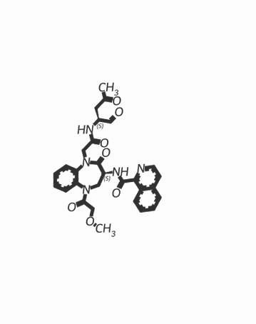 COCC(=O)N1C[C@H](NC(=O)c2nccc3ccccc23)C(=O)N(CC(=O)N[C@H](C=O)CC(C)=O)c2ccccc21